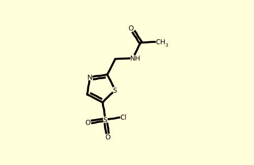 CC(=O)NCc1ncc(S(=O)(=O)Cl)s1